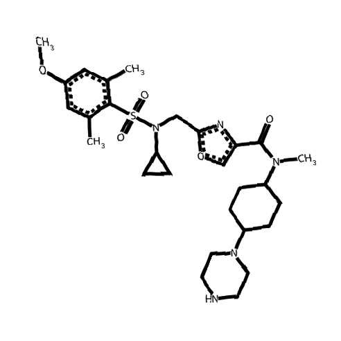 COc1cc(C)c(S(=O)(=O)N(Cc2nc(C(=O)N(C)C3CCC(N4CCNCC4)CC3)co2)C2CC2)c(C)c1